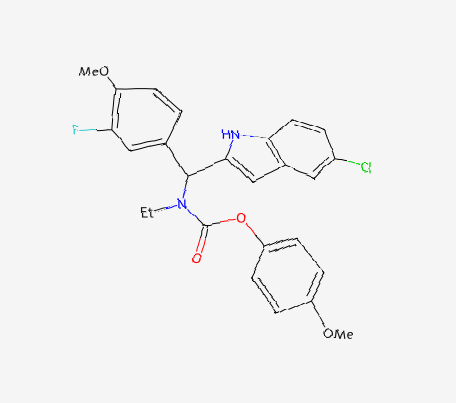 CCN(C(=O)Oc1ccc(OC)cc1)C(c1ccc(OC)c(F)c1)c1cc2cc(Cl)ccc2[nH]1